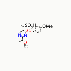 C=C(OCC)c1ncc(C(C)S(=O)(=O)O)c(OCc2ccc(OC)cc2)n1